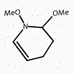 COC1CCC=CN1OC